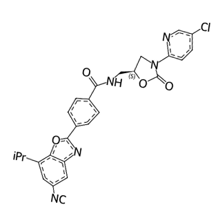 [C-]#[N+]c1cc(C(C)C)c2oc(-c3ccc(C(=O)NC[C@H]4CN(c5ccc(Cl)cn5)C(=O)O4)cc3)nc2c1